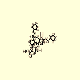 C[C@H](NC(=O)CN1C(=O)[C@@H](NC(=O)CCc2ccccc2)CN(C(=O)CCc2ccccc2)c2ccccc21)C(=O)C(=O)O